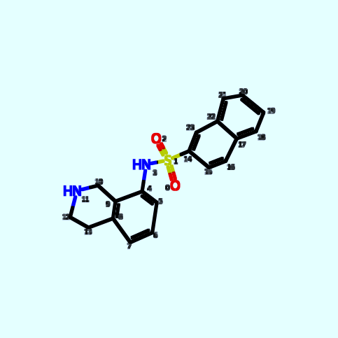 O=S(=O)(Nc1cccc2c1CNCC2)c1ccc2ccccc2c1